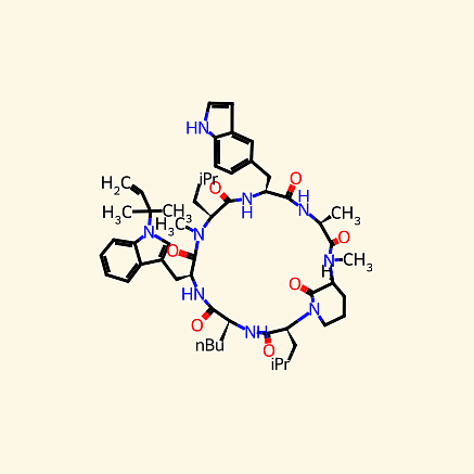 C=CC(C)(C)n1cc(C[C@@H]2NC(=O)[C@H](CCCC)NC(=O)[C@H](CC(C)C)N3CCC[C@@H](C3=O)N(C)C(=O)[C@H](C)NC(=O)[C@H](Cc3ccc4[nH]ccc4c3)NC(=O)[C@H](CC(C)C)N(C)C2=O)c2ccccc21